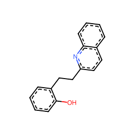 Oc1ccccc1CCc1ccc2ccccc2n1